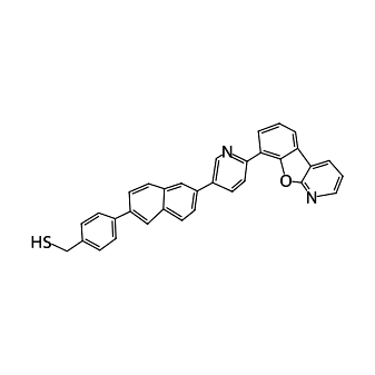 SCc1ccc(-c2ccc3cc(-c4ccc(-c5cccc6c5oc5ncccc56)nc4)ccc3c2)cc1